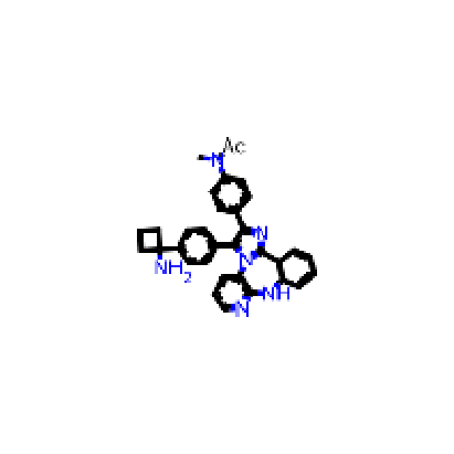 CC(=O)N(C)c1ccc(-c2nc3n(c2-c2ccc(C4(N)CCC4)cc2)-c2cccnc2NC2C=CC=CC32)cc1